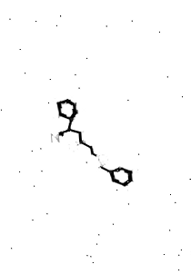 N#CC(CC(O)CCOCc1ccccc1)c1ccccc1